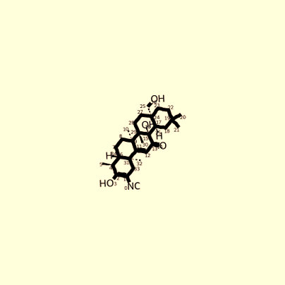 [C-]#[N+]C1=C(O)[C@@H](C)[C@@H]2CC[C@]3(C)C(=CC(=O)[C@]4(O)[C@@H]5CC(C)(C)CC[C@]5(CO)CC[C@@]34C)[C@@]2(C)C1